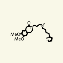 COc1cc2c(cc1OC)CC(=O)N(CCCN(C)CCCCc1cccs1)CC2